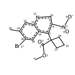 COC(=O)C1(c2c([N+](=O)[O-])cnc3cc(C)c(Br)cc23)CCC1